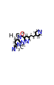 CCN1c2ncc(CCc3ccncc3)cc2C(=O)N(C)c2ccc(C#N)nc21